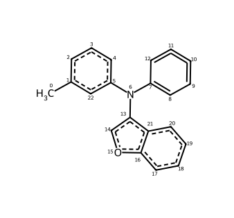 Cc1cccc(N(C2=CC=C=C=C2)c2coc3ccccc23)c1